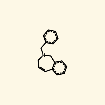 C1=Cc2ccccc2CN(Cc2ccccc2)C1